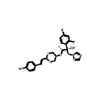 C[C@@H](SC1COC(/C=C/c2ccc(C#N)cc2)OC1)[C@](O)(Cn1cncn1)c1ccc(F)cc1F